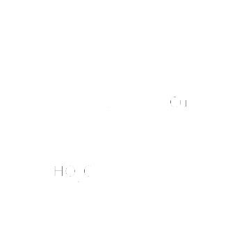 CC(C(=O)O)C(C)(C)C.[Cu]